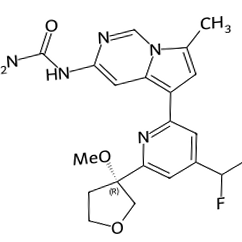 CO[C@@]1(c2cc(C(F)F)cc(-c3cc(C)n4cnc(NC(N)=O)cc34)n2)CCOC1